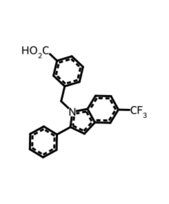 O=C(O)c1cccc(Cn2c(-c3ccccc3)cc3cc(C(F)(F)F)ccc32)c1